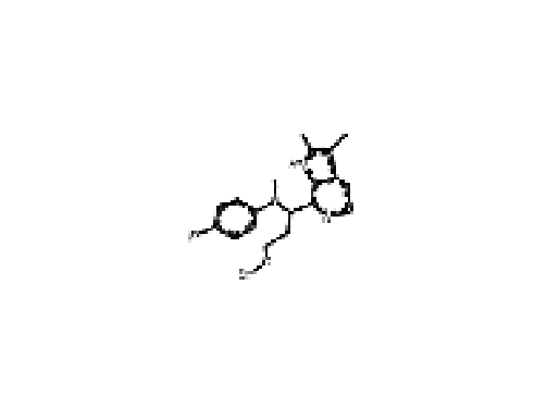 CCOCCC(c1nccc2c(C)c(C)[nH]c12)N(C)c1ccc(F)cc1